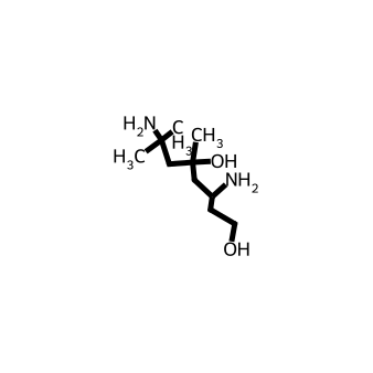 CC(C)(N)CC(C)(O)CC(N)CCO